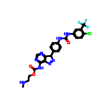 CNCCOC(=O)Nc1ncnc2c1N=NC2c1ccc(NC(=O)Nc2ccc(Cl)c(C(F)(F)F)c2)cc1